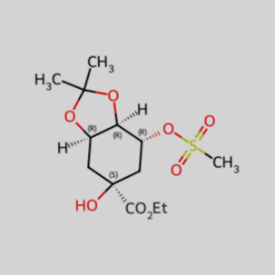 CCOC(=O)[C@]1(O)C[C@H]2OC(C)(C)O[C@H]2[C@H](OS(C)(=O)=O)C1